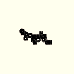 C[C@@H](O)[C@]1(C)CN=C(NC2=CC3C(Nc4ccc(OCc5ccccn5)c(Cl)c4)=NC=NC3C=C2)O1